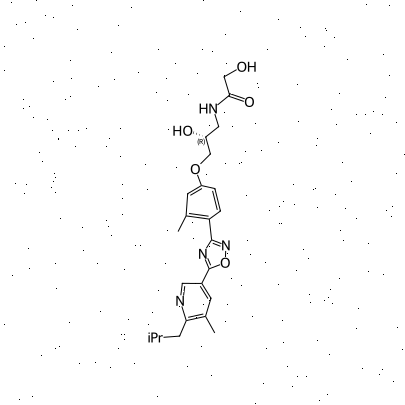 Cc1cc(OC[C@H](O)CNC(=O)CO)ccc1-c1noc(-c2cnc(CC(C)C)c(C)c2)n1